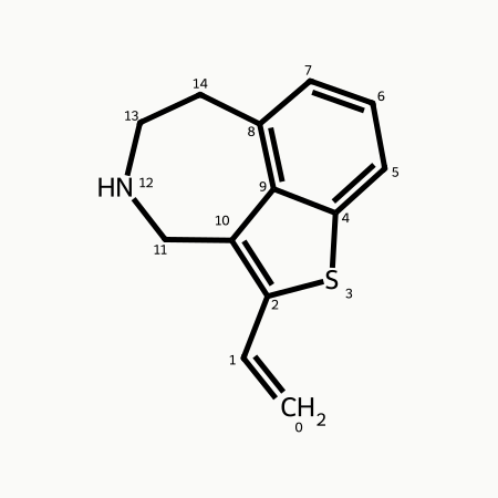 C=Cc1sc2cccc3c2c1CNCC3